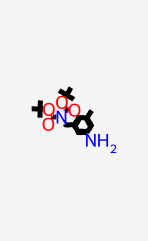 Cc1cc(N)cc(CN(C(=O)OC(C)(C)C)C(=O)OC(C)(C)C)c1